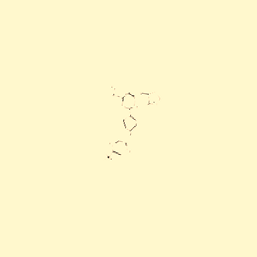 NC(=O)c1cc(NC2CCNC2=O)nc(-c2ccc(Oc3cnc(C(F)(F)F)cn3)cc2)n1